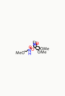 CCn1cc(OC(=O)NCCCOC)c2cc(OC)c(OC)cc2c1=O